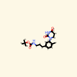 Cc1ccc(CCCNC(=O)OC(C)(C)C)cc1N1CCC(=O)NC1=O